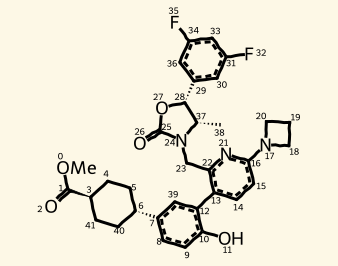 COC(=O)[C@H]1CC[C@H](c2ccc(O)c(-c3ccc(N4CCC4)nc3CN3C(=O)O[C@H](c4cc(F)cc(F)c4)[C@@H]3C)c2)CC1